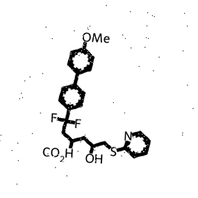 COc1ccc(-c2ccc(C(F)(F)CC(CC(O)CSc3ccccn3)C(=O)O)cc2)cc1